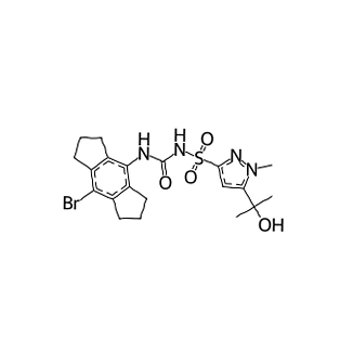 Cn1nc(S(=O)(=O)NC(=O)Nc2c3c(c(Br)c4c2CCC4)CCC3)cc1C(C)(C)O